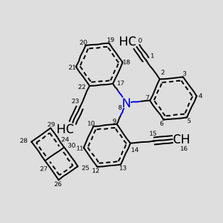 C#Cc1ccccc1N(c1ccccc1C#C)c1ccccc1C#C.c1cc2ccc1-2